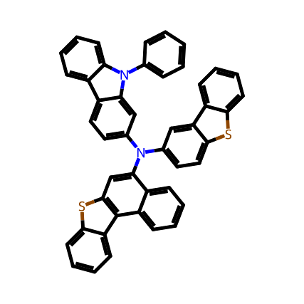 c1ccc(-n2c3ccccc3c3ccc(N(c4ccc5sc6ccccc6c5c4)c4cc5sc6ccccc6c5c5ccccc45)cc32)cc1